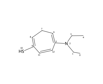 CCN(CC)C1=CCC=C(S)C=C1